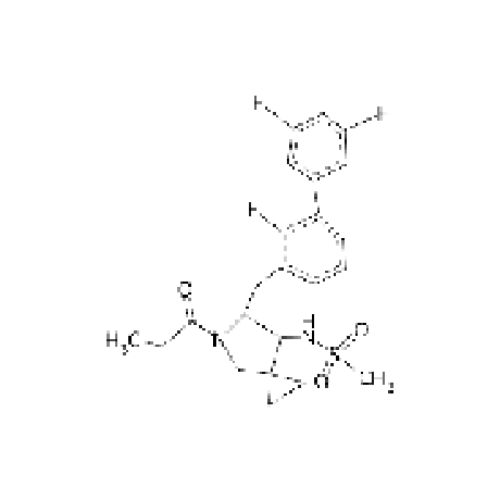 CCC(=O)N1CC2(CC2)C(NS(C)(=O)=O)C1Cc1cccc(-c2cc(F)cc(F)c2)c1F